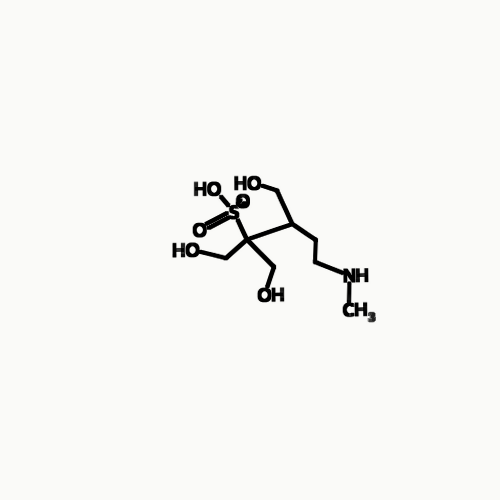 CNCCC(CO)C(CO)(CO)S(=O)(=O)O